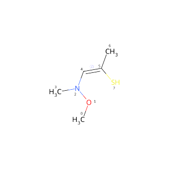 CON(C)/C=C(/C)S